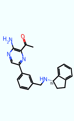 CC(=O)c1nc(-c2cccc(CN[C@H]3CCc4ccccc43)c2)cnc1N